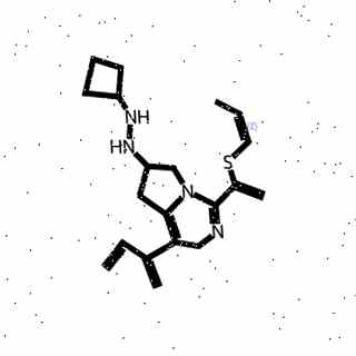 C=CC(=C)C1=C2CC(NNC3CCC3)CN2C(C(=C)S/C=C\C)=NC1